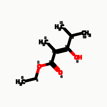 CCOC(=O)/C(C)=C(\O)C(C)C